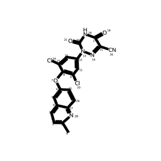 Cc1ccc2cc(Oc3c(Cl)cc(-n4nc(C#N)c(=O)[nH]c4=O)cc3Cl)ccc2n1